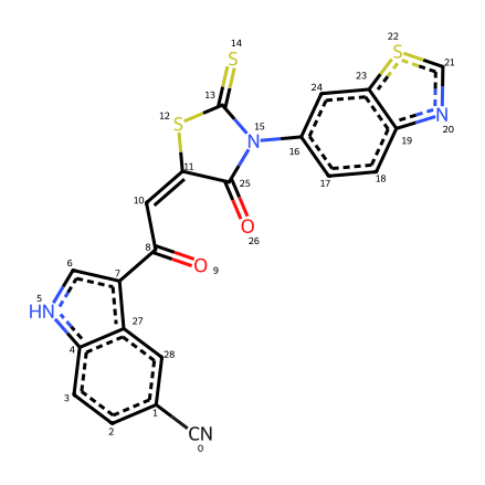 N#Cc1ccc2[nH]cc(C(=O)C=C3SC(=S)N(c4ccc5ncsc5c4)C3=O)c2c1